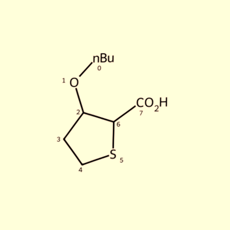 CCCCOC1CCSC1C(=O)O